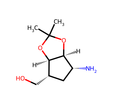 CC1(C)O[C@@H]2[C@@H](CO)C[C@@H](N)[C@@H]2O1